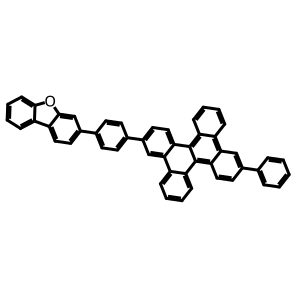 c1ccc(-c2ccc3c(c2)c2ccccc2c2c4ccc(-c5ccc(-c6ccc7c(c6)oc6ccccc67)cc5)cc4c4ccccc4c32)cc1